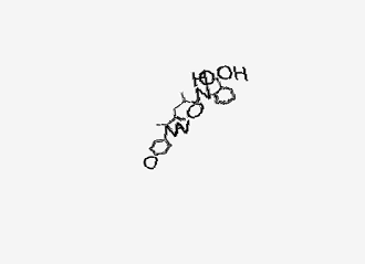 COc1ccc(-n2ncc(CC(C)C(=O)Nc3ccccc3C(=O)O)c2C)cc1